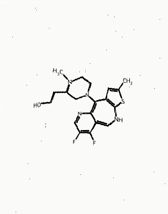 Cc1cc2c(s1)NC=c1c(F)c(F)cnc1=C2N1CCN(C)C(CCO)C1